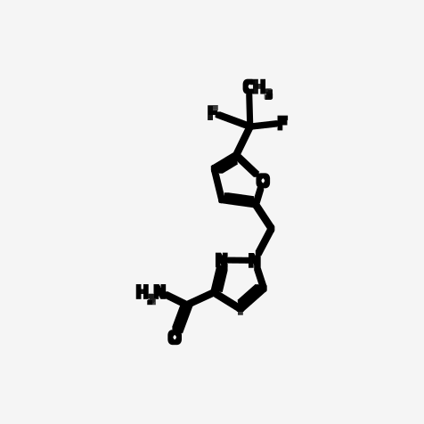 CC(F)(F)c1ccc(Cn2c[c]c(C(N)=O)n2)o1